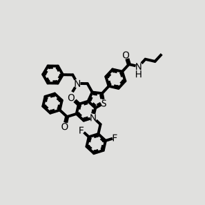 CCCNC(=O)c1ccc(-c2sc3c(c2CN(C)Cc2ccccc2)c(=O)c(C(=O)c2ccccc2)cn3Cc2c(F)cccc2F)cc1